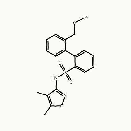 Cc1onc(NS(=O)(=O)c2ccccc2-c2ccccc2COC(C)C)c1C